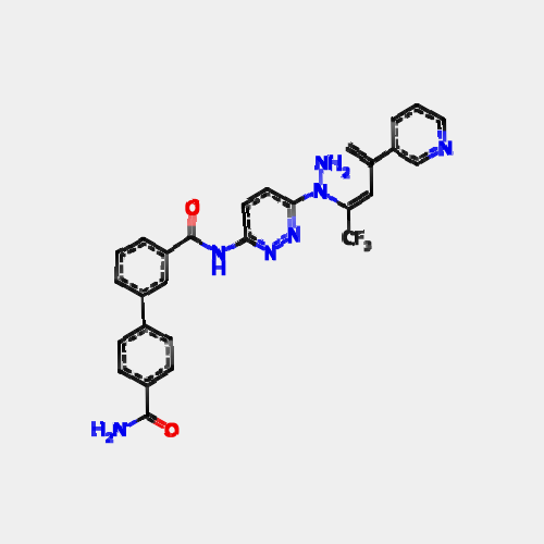 C=C(/C=C(\N(N)c1ccc(NC(=O)c2cccc(-c3ccc(C(N)=O)cc3)c2)nn1)C(F)(F)F)c1cccnc1